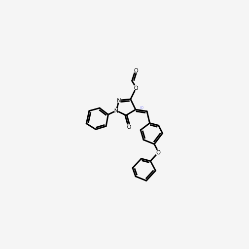 O=COC1=NN(c2ccccc2)C(=O)/C1=C\c1ccc(Oc2ccccc2)cc1